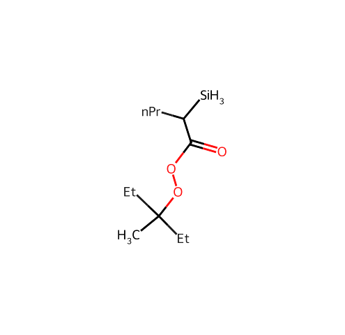 CCCC([SiH3])C(=O)OOC(C)(CC)CC